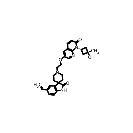 C=Cc1ccc2c(c1)C1(CCN(CCOc3cnc4c(ccc(=O)n4[C@H]4C[C@@](C)(O)C4)c3)CC1)C(=O)N2